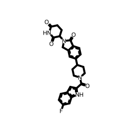 O=C1CCC(N2Cc3cc(C4CCN(C(=O)c5cc6ccc(F)cc6[nH]5)CC4)ccc3C2=O)C(=O)N1